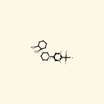 NC1CCCCC1(N)[C@H]1CCCN(c2cnc(C(F)(F)F)nc2)C1